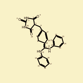 O=C1NC(=O)C(CC2=CCC(=C(Nc3ccccc3)Nc3ccccc3)C=C2)C(=O)N1